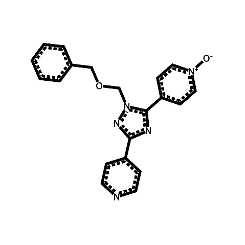 [O-][n+]1ccc(-c2nc(-c3ccncc3)nn2COCc2ccccc2)cc1